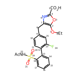 CCOc1oc(C(=O)O)nc1Cc1ccc(-c2ccccc2S(=O)(=O)NC(C)=O)c(F)c1